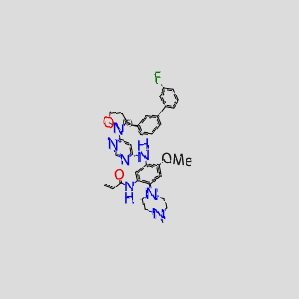 C=CC(=O)Nc1cc(Nc2cc(N3OCC[C@H]3c3cccc(-c4cccc(F)c4)c3)ncn2)c(OC)cc1N1CCN(C)CC1